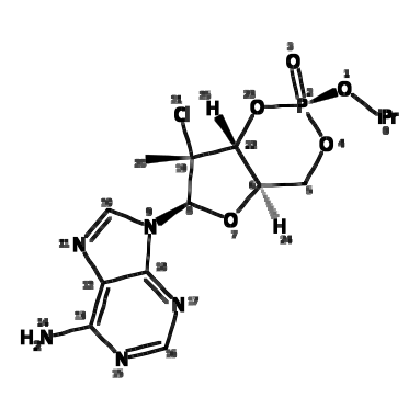 CC(C)O[P@@]1(=O)OC[C@H]2O[C@@H](n3cnc4c(N)ncnc43)[C@](C)(Cl)[C@@H]2O1